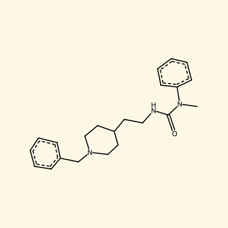 CN(C(=O)NCCC1CCN(Cc2ccccc2)CC1)c1ccccc1